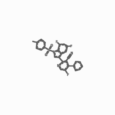 Cc1ccc(S(=O)(=O)n2cc(-c3ncc(F)c(-c4ccccc4)c3C#N)c3cc(F)cc(F)c32)cc1